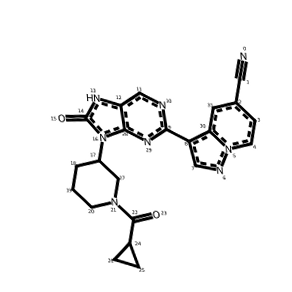 N#Cc1ccn2ncc(-c3ncc4[nH]c(=O)n(C5CCCN(C(=O)C6CC6)C5)c4n3)c2c1